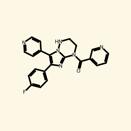 O=C(c1cccnc1)N1CCNn2c1nc(-c1ccc(F)cc1)c2-c1ccncc1